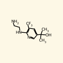 CC(C)(O)c1cnc(NCCN)c(C(F)(F)F)c1